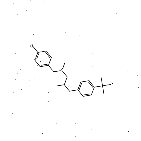 CC(Cc1ccc(C(C)(C)C)cc1)CN(C)Cc1ccc(Cl)nc1